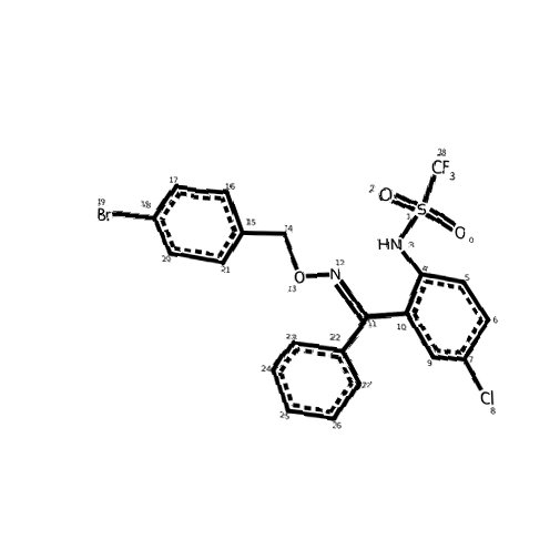 O=S(=O)(Nc1ccc(Cl)cc1C(=NOCc1ccc(Br)cc1)c1ccccc1)C(F)(F)F